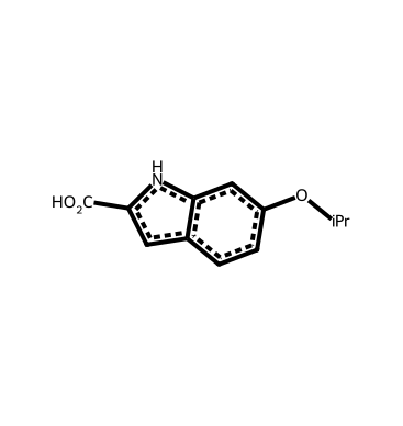 CC(C)Oc1ccc2cc(C(=O)O)[nH]c2c1